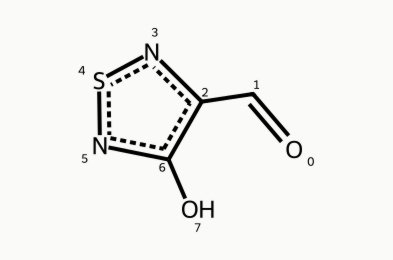 O=Cc1nsnc1O